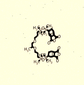 CC(COCCC[Si](C)(C)O[Si](C)(C)c1cc2oc1c1c2C(=O)OC1=O)OCCC[Si](C)(C)O[Si](C)(C)C1CC2OC1C1C(=O)OC(=O)C21